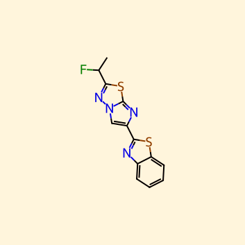 CC(F)c1nn2cc(-c3nc4ccccc4s3)nc2s1